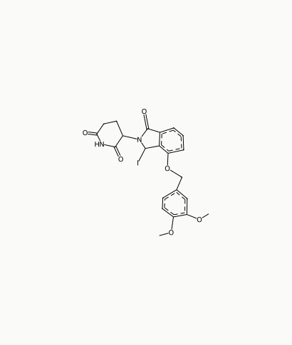 COc1ccc(COc2cccc3c2C(I)N(C2CCC(=O)NC2=O)C3=O)cc1OC